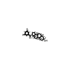 C[C@@]1(O)CC[C@@]2(C)[C@H](CC[C@@H]3[C@@H]2CC[C@]2(C)[C@@H](C(=O)c4cc(F)cc(F)c4)CC[C@@H]32)C1